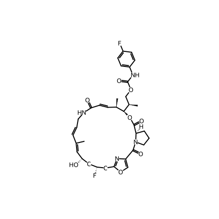 CC1=C\[C@@H](O)C[C@@H](F)Cc2nc(co2)C(=O)N2CCC[C@@H]2C(=O)O[C@H]([C@H](C)COC(=O)Nc2ccc(F)cc2)[C@H](C)/C=C/C(=O)NC\C=C\1